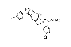 CC(=O)NC(C[C@H]1CCC2=C1[C@@H](C)C1=CNN(c3ccc(F)cc3)C1=C2)c1ccc(Cl)cc1